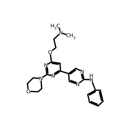 CN(C)CCOc1cc(-c2cnc(Nc3ccccc3)nc2)nc(N2CCOCC2)n1